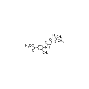 COC(=O)c1ccc(NC(=O)CC(=O)OC(C)(C)C)c(C)c1